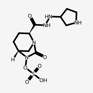 O=C(NNC1CCNC1)[C@@H]1CC[C@@H]2CN1C(=O)N2OS(=O)(=O)O